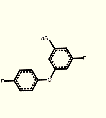 CCCc1cc(F)cc(Oc2ccc(F)cc2)c1